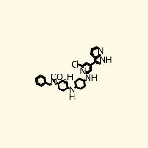 O=C(O)N(Cc1ccccc1)C1CCC(NC2CCC(Nc3cc(-c4c[nH]c5ncccc45)cc(Cl)n3)CC2)CC1